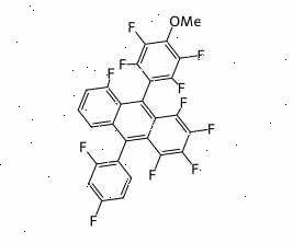 COc1c(F)c(F)c(-c2c3c(F)cccc3c(-c3ccc(F)cc3F)c3c(F)c(F)c(F)c(F)c23)c(F)c1F